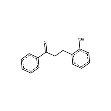 CC(C)(C)c1ccccc1CCC(=O)c1ccccc1